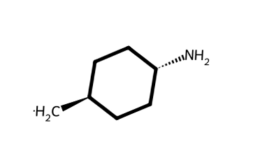 [CH2][C@H]1CC[C@H](N)CC1